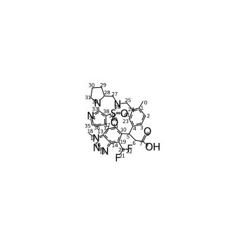 Cc1ccc(C(CC(=O)O)c2ccc3c(nnn3C)c2C(F)F)cc1CN1CC2CCCN2c2ncccc2S1(=O)=O